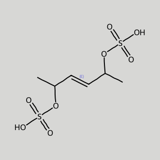 CC(/C=C/C(C)OS(=O)(=O)O)OS(=O)(=O)O